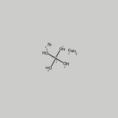 O[Si](O)(O)O.[GaH3].[Tb]